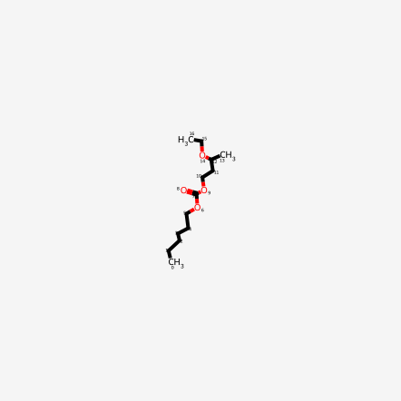 CCCCCCOC(=O)OCCC(C)OCC